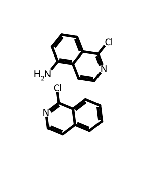 Clc1nccc2ccccc12.Nc1cccc2c(Cl)nccc12